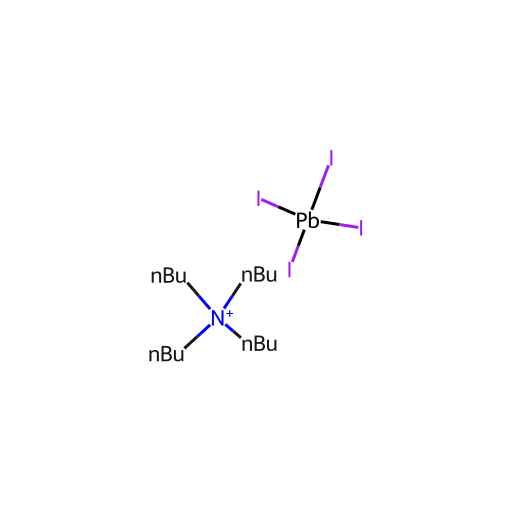 CCCC[N+](CCCC)(CCCC)CCCC.[I][Pb]([I])([I])[I]